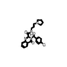 O=C(NCCCN1CCCC1)c1nc2ccccc2c(=O)n1C(=O)c1ccc(Cl)cc1